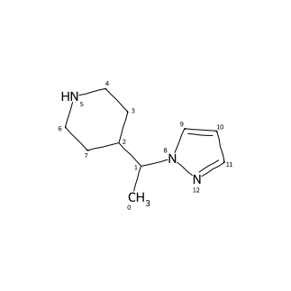 CC(C1CCNCC1)n1cccn1